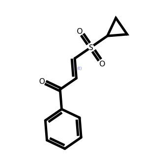 O=C(/C=C/S(=O)(=O)C1CC1)c1ccccc1